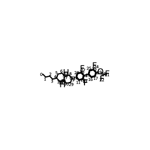 CCCCC1CC[C@@H]2C[C@H](c3cc(F)c(-c4ccc(OC(F)F)c(F)c4)c(F)c3)CC[C@@H]2C1